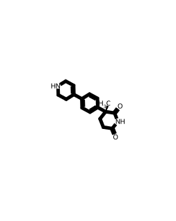 C[C@]1(c2ccc(C3=CCNCC3)cc2)CCC(=O)NC1=O